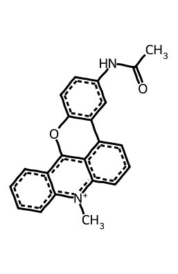 CC(=O)Nc1ccc2c(c1)-c1cccc3c1c(c1ccccc1[n+]3C)O2